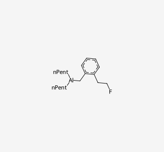 CCCC[CH2][Al]([CH2]CCCC)[CH2]c1ccccc1CCF